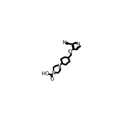 N#Cc1cnccc1OCC1CCC(N2CCN(C(=O)O)CC2)CC1